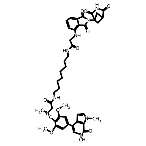 COc1cc(-c2cn(C)c(=O)c3c2ccn3C)cc(OC)c1CN(C)CC(=O)NCCCCCCCCNC(=O)CNc1cccc2c1C(=O)N(C13CC(C1)C(=O)NC3=O)C2=O